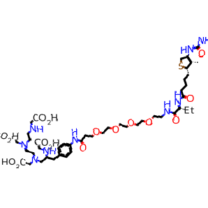 CC[C@@H](NC(=O)CCCC[C@@H]1SC[C@H](NC(N)=O)[C@@H]1C)C(=O)NCCOCCOCCOCCOCCC(=O)Nc1ccc(CC(CN(CCN(CCNCC(=O)O)CC(=O)O)CC(=O)O)NCC(=O)O)cc1